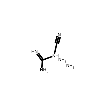 N.N.N#CNC(=N)N